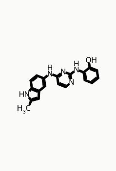 Cc1cc2cc(Nc3ccnc(Nc4ccccc4O)n3)ccc2[nH]1